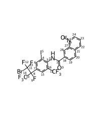 O=C(Nc1c(I)cc(C(F)(C(F)(F)F)C(F)(F)Br)cc1C(F)(F)F)c1ccc2ccc[n+]([O-])c2c1